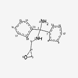 NC(NCC1CO1)(c1ccccc1)c1ccccc1